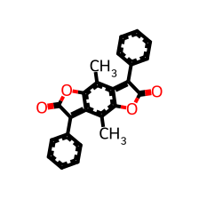 Cc1c2c(c(C)c3c1=C(c1ccccc1)C(=O)O3)=C(c1ccccc1)C(=O)O2